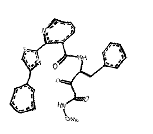 CONC(=O)C(=O)C(Cc1ccccc1)NC(=O)c1cccnc1-c1nc(-c2ccccc2)cs1